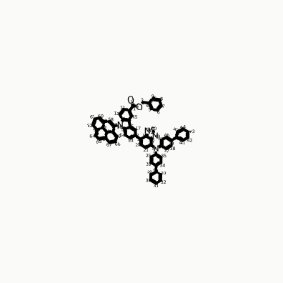 O=C(OCc1ccccc1)c1ccc2c(c1)c1cc(-c3ccc(N(c4ccc(-c5ccccc5)cc4)c4ccc(-c5ccccc5)cc4)c4nsnc34)ccc1n2C1=CC2=CC=CC3=CC=C4C=CC=C1C4C32